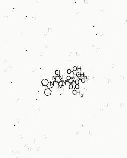 CC(=O)O[C@@H]1[C@H](OC(C)=O)[C@@H](C(C)C(=O)O)O[C@H]1n1cnc2c(N3CC4(CCCCC4)C4C=CC=CC43)nc(Cl)nc21